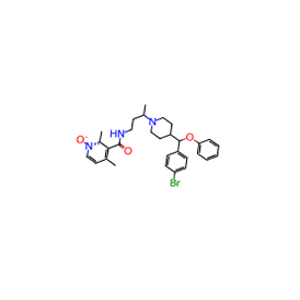 Cc1cc[n+]([O-])c(C)c1C(=O)NCCC(C)N1CCC(C(Oc2ccccc2)c2ccc(Br)cc2)CC1